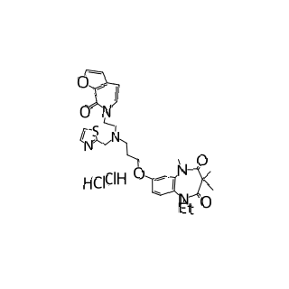 CCN1C(=O)C(C)(C)C(=O)N(C)c2cc(OCCCN(CCn3ccc4ccoc4c3=O)Cc3nccs3)ccc21.Cl.Cl